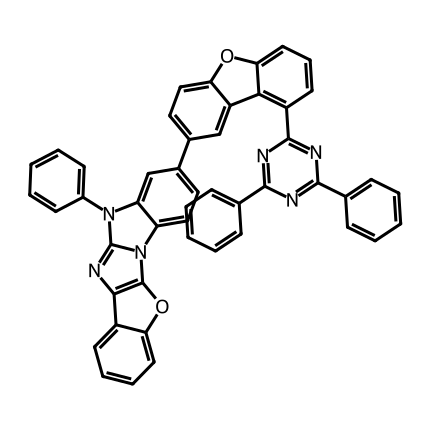 c1ccc(-c2nc(-c3ccccc3)nc(-c3cccc4oc5ccc(-c6ccc7c(c6)n(-c6ccccc6)c6nc8c9ccccc9oc8n76)cc5c34)n2)cc1